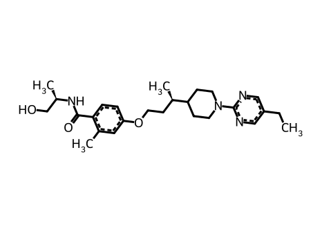 CCc1cnc(N2CCC([C@H](C)CCOc3ccc(C(=O)N[C@H](C)CO)c(C)c3)CC2)nc1